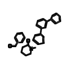 CN1CCCCC1=O.O=Cc1ccccc1.c1ccc(-c2cccc(-c3ccccc3)c2)cc1